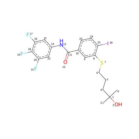 CC(C)(O)CCCSc1cc(C(=O)Nc2cc(F)c(F)c(F)c2)ccc1I